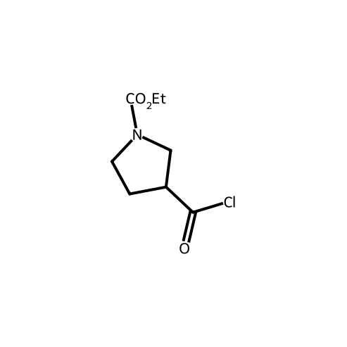 CCOC(=O)N1CCC(C(=O)Cl)C1